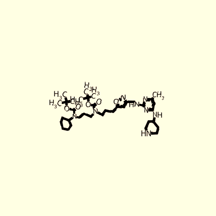 Cc1cc(NC2CCNCC2)nc(NCc2cc(CCCN(CCCN(C(=O)OC(C)(C)C)C3CCCCC3)C(=O)OC(C)(C)C)on2)n1